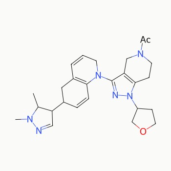 CC(=O)N1CCc2c(c(N3CC=CC4=C3C=CC(C3C=NN(C)C3C)C4)nn2C2CCOC2)C1